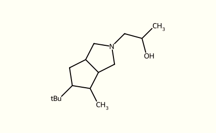 CC(O)CN1CC2CC(C(C)(C)C)C(C)C2C1